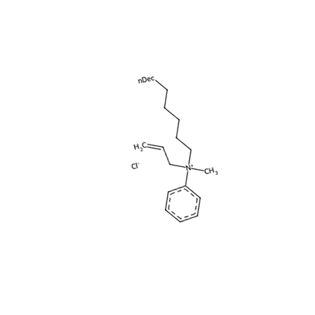 C=CC[N+](C)(CCCCCCCCCCCCCCC)c1ccccc1.[Cl-]